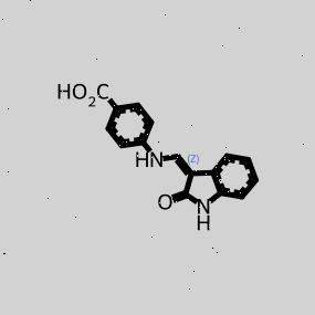 O=C1Nc2ccccc2/C1=C/Nc1ccc(C(=O)O)cc1